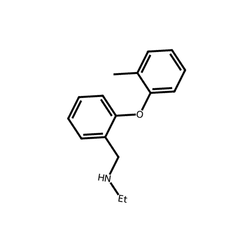 CCNCc1ccccc1Oc1ccccc1C